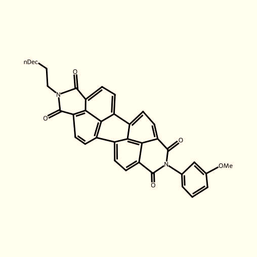 CCCCCCCCCCCCN1C(=O)c2ccc3c4ccc5c6c(ccc(c7ccc(c2c37)C1=O)c64)C(=O)N(c1cccc(OC)c1)C5=O